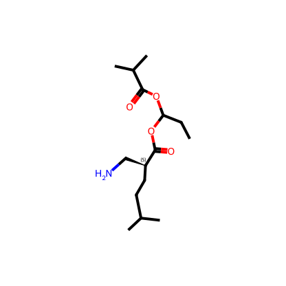 CCC(OC(=O)C(C)C)OC(=O)[C@H](CN)CCC(C)C